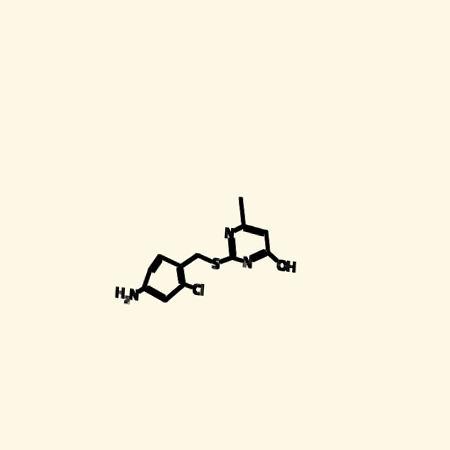 Cc1cc(O)nc(SCc2ccc(N)cc2Cl)n1